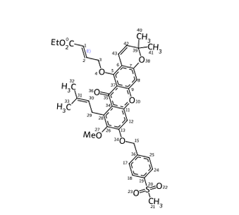 CCOC(=O)/C=C/COc1c2c(cc3oc4cc(OCc5ccc(S(C)(=O)=O)cc5)c(OC)c(CC=C(C)C)c4c(=O)c13)OC(C)(C)C=C2